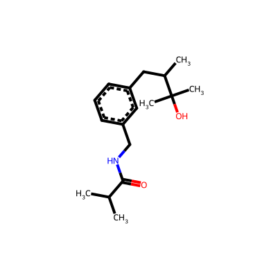 CC(C)C(=O)NCc1cccc(CC(C)C(C)(C)O)c1